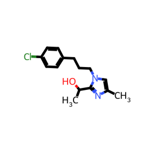 Cc1cn(CCCc2ccc(Cl)cc2)c(C(C)O)n1